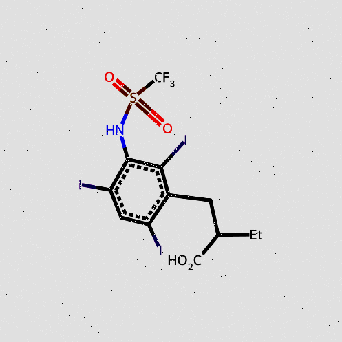 CCC(Cc1c(I)cc(I)c(NS(=O)(=O)C(F)(F)F)c1I)C(=O)O